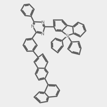 c1ccc(-c2nc(-c3cccc(-c4ccc5cc(-c6cccc7ccccc67)ccc5c4)c3)nc(-c3ccc4c(c3)[Si](c3ccccc3)(c3ccccc3)c3ccccc3-4)n2)cc1